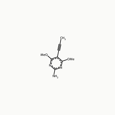 CC#Cc1c(OC)nc(N)nc1OC